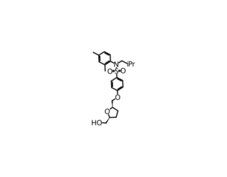 Cc1ccc(N(CC(C)C)S(=O)(=O)c2ccc(OC[C@H]3CC[C@@H](CO)O3)cc2)c(C)c1